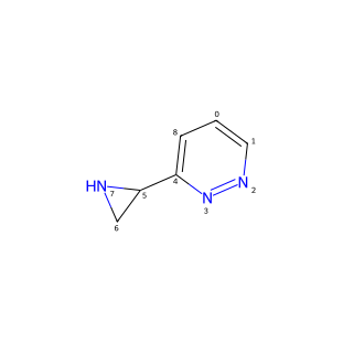 c1cnnc(C2CN2)c1